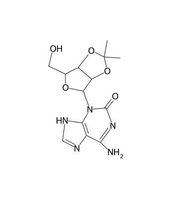 CC1(C)OC2C(CO)OC(n3c(=O)nc(N)c4nc[nH]c43)C2O1